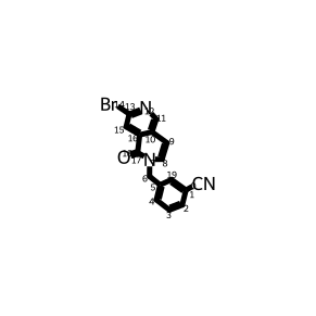 N#Cc1cccc(Cn2ccc3cnc(Br)cc3c2=O)c1